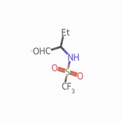 CCC([C]=O)NS(=O)(=O)C(F)(F)F